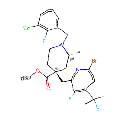 C[C@@H]1C[C@](Cc2nc(Br)cc(C(C)(C)F)c2F)(C(=O)OC(C)(C)C)CCN1Cc1cccc(Cl)c1F